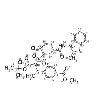 COC(=O)c1ccc(C(C)N(C(=O)OC(C)(C)C)S(=O)(=O)c2cc(C(=O)NN3c4ccccc4CC3C)ccc2Cl)cc1